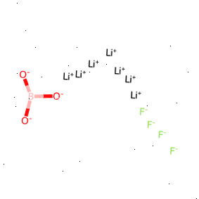 [F-].[F-].[F-].[F-].[Li+].[Li+].[Li+].[Li+].[Li+].[Li+].[Li+].[O-]B([O-])[O-]